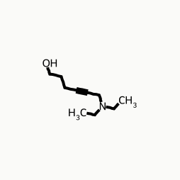 CCN(CC)CC#CCCCO